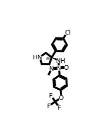 CN=S(=O)(N[C@@]1(c2ccc(Cl)cc2)CCNC1)c1ccc(OC(F)(F)F)cc1